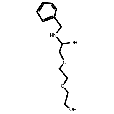 OCCOCCOCC(O)NCc1ccccc1